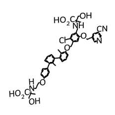 Cc1c(OCc2cc(OCc3cncc(C#N)c3)c(CNC(C)(CO)C(=O)O)cc2Cl)cccc1-c1cccc(-c2ccc(OCCN[C@@](C)(CO)C(=O)O)cc2)c1C